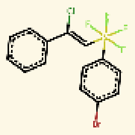 FS(F)(F)(F)(C=C(Cl)c1ccccc1)c1ccc(Br)cc1